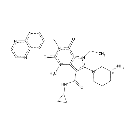 CCn1c(N2CCC[C@@H](N)C2)c(C(=O)NC2CC2)c2c1c(=O)n(Cc1ccc3nccnc3c1)c(=O)n2C